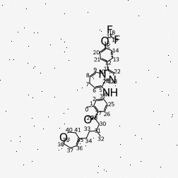 Cc1cc(NC2=CCC=Cn3c(-c4ccc(OC(F)F)cc4)cnc32)ccc1C(=O)CC(C)CCC1=CCCOCC1